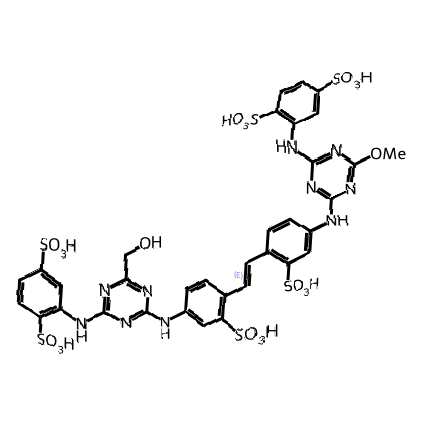 COc1nc(Nc2ccc(/C=C/c3ccc(Nc4nc(CO)nc(Nc5cc(S(=O)(=O)O)ccc5S(=O)(=O)O)n4)cc3S(=O)(=O)O)c(S(=O)(=O)O)c2)nc(Nc2cc(S(=O)(=O)O)ccc2S(=O)(=O)O)n1